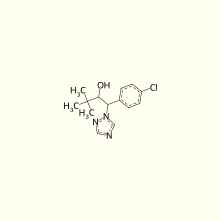 CC(C)(C)C(O)C(c1ccc(Cl)cc1)n1cncn1